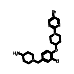 CCc1cnc(N2CCC(Oc3ccc(CN4CCC(N)CC4)cc3Cl)CC2)nc1